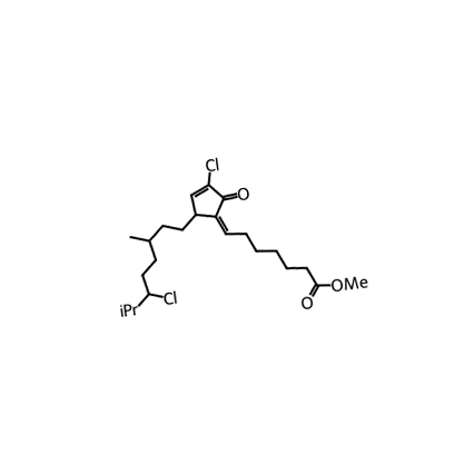 COC(=O)CCCCC/C=C1\C(=O)C(Cl)=CC1CCC(C)CCC(Cl)C(C)C